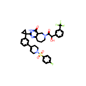 O=C(C(O)c1cccc(C(F)(F)F)c1)N1CCCc2nc(C3(c4cccc(C5=CCN(S(=O)(=O)c6ccc(F)cc6)CC5)c4)CC3)[nH]c(=O)c2C1